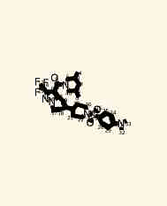 CC1CC(C)CN(C(=O)c2c(C(F)(F)F)nn3ccc(C4CCN(S(=O)(=O)c5ccc(N(C)C)cc5)CC4)cc23)C1